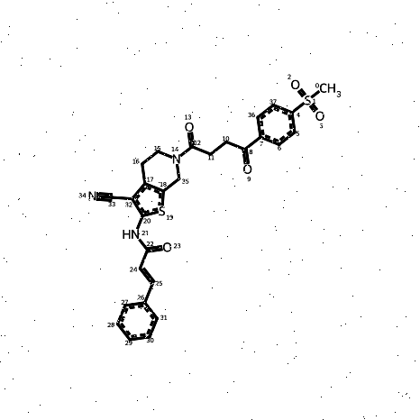 CS(=O)(=O)c1ccc(C(=O)CCC(=O)N2CCc3c(sc(NC(=O)/C=C/c4ccccc4)c3C#N)C2)cc1